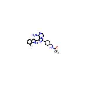 CCc1cccc2cc(-c3nc(C4CCC(CNC(=O)C(F)(F)F)CC4)n4ccnc(N)c34)[nH]c12